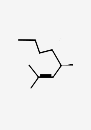 CCC[C@H](C)[C@@H](C)/C=C(\C)I